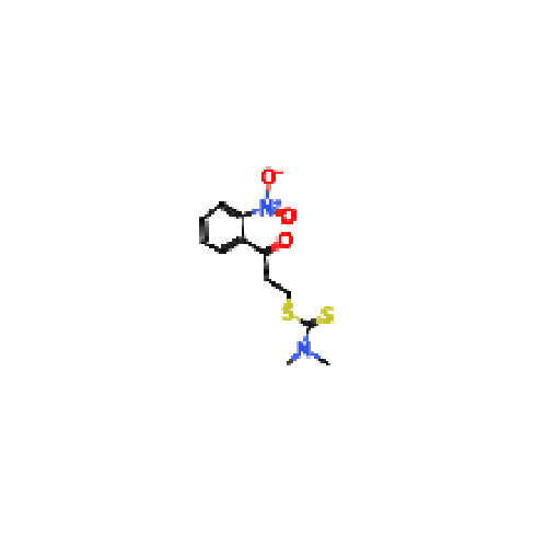 CN(C)C(=S)SCCC(=O)c1ccccc1[N+](=O)[O-]